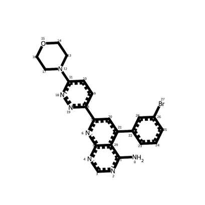 Nc1ncnc2nc(-c3ccc(N4CCOCC4)nn3)cc(-c3cccc(Br)c3)c12